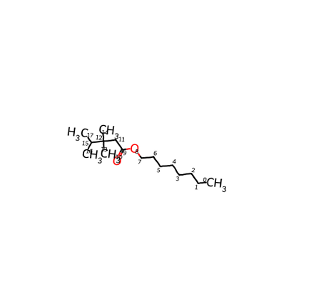 CCCCCCCCOC(=O)CC(C)(C)C(C)C